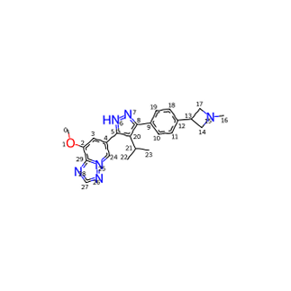 COc1cc(-c2[nH]nc(-c3ccc(C4CN(C)C4)cc3)c2C(C)C)cn2ncnc12